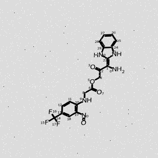 NC(C(=O)COC(=O)CNc1ccc(C(F)(F)F)cc1N=O)=C1Nc2ccccc2N1